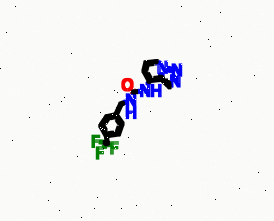 O=C(NCc1ccc(C(F)(F)F)cc1)Nc1cccn2nncc12